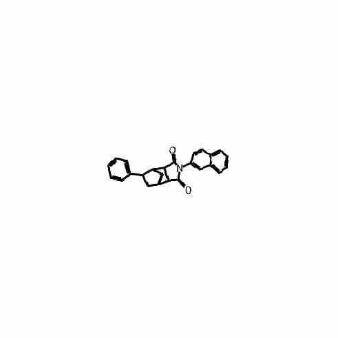 O=C1C2C3CC(c4ccccc4)C(C3)C2C(=O)N1c1ccc2ccccc2c1